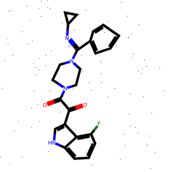 O=C(C(=O)N1CCN(/C(=N/C2CC2)c2ccccc2)CC1)c1c[nH]c2cccc(F)c12